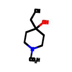 N#CCC1(O)CCN(C(=O)O)CC1